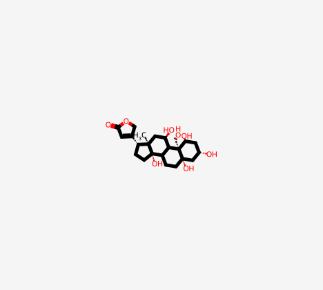 C[C@]12C[C@@H](O)C3C(CC[C@]4(O)C[C@@H](O)C[C@@H](O)[C@]34CO)[C@@]1(O)CC[C@@H]2C1=CC(=O)OC1